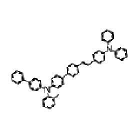 Cc1ccccc1N(c1ccc(-c2ccccc2)cc1)c1ccc(-c2ccc(/C=C/c3ccc(N(c4ccccc4)c4ccccc4)cc3)cc2)cc1